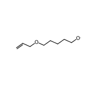 C=CCOCCCCC[O]